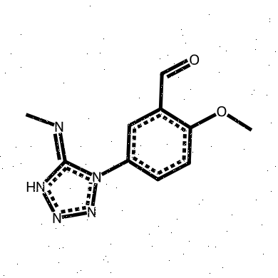 C/N=c1\[nH]nnn1-c1ccc(OC)c(C=O)c1